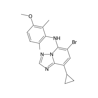 COc1ccc(C)c(Nc2c(Br)cc(C3CC3)c3ncnn23)c1C